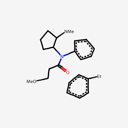 CCc1ccccc1.CNC1CCCC1N(C(=O)CCOC)c1ccccc1